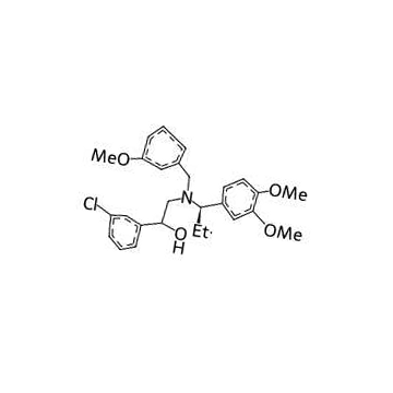 C[CH][C@H](c1ccc(OC)c(OC)c1)N(Cc1cccc(OC)c1)CC(O)c1cccc(Cl)c1